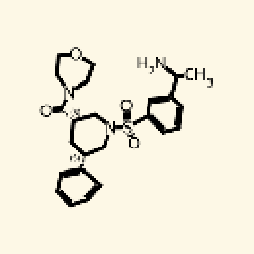 CC(N)c1cccc(S(=O)(=O)N2C[C@@H](C(=O)N3CCOCC3)C[C@@H](c3ccccc3)C2)c1